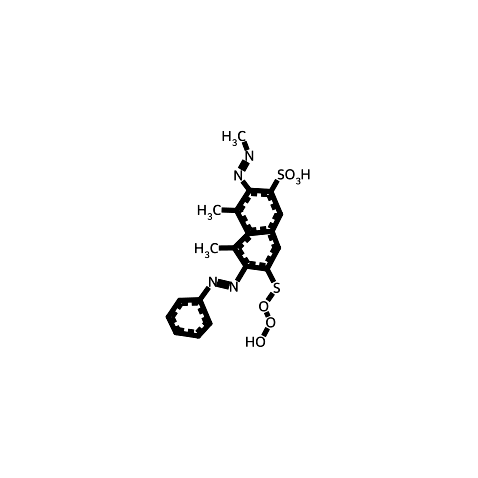 CN=Nc1c(S(=O)(=O)O)cc2cc(SOOO)c(N=Nc3ccccc3)c(C)c2c1C